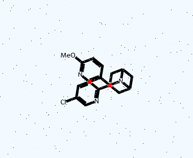 COc1ccc(CN2C3CC2CN(c2ncc(Cl)cn2)C3)cn1